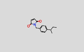 CCC(C)c1ccc(CN2C(=O)C=CC2=O)cc1